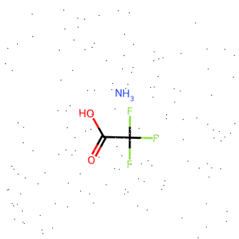 N.O=C(O)C(F)(F)F